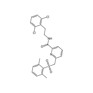 Cc1cccc(C)c1S(=O)(=O)Cc1cccc(C(=O)NCCc2c(Cl)cccc2Cl)n1